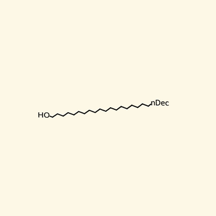 [CH2]CCCCCCCCCCCCCCCCCCCCCCCCCCCCO